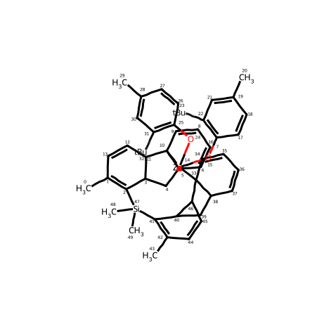 CC1=C2C3CC4C=CC=C[C]4(C3C=C1)[Zr]([O]c1ccc(C)cc1C(C)(C)C)([O]c1ccc(C)cc1C(C)(C)C)[C]13C=CC=CC1CC1C(=C(C)C=CC13)[Si]2(C)C